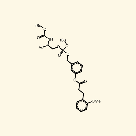 COc1ccccc1CCC(=O)Oc1cccc(COP(=O)(OC[C@H](NC(=O)OC(C)(C)C)C(C)=O)OC(C)(C)C)c1